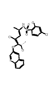 C/C(=C\C(Cl)=C(\Oc1cnc2ccccc2c1)[C@H](C)Cl)NS(=O)(=O)c1ccc(Cl)cc1Cl